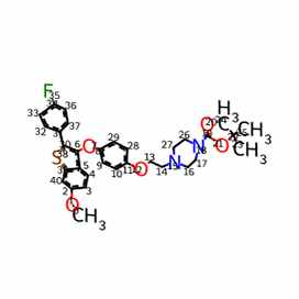 COc1ccc2c(Oc3ccc(OCCN4CCN(C(=O)OC(C)(C)C)CC4)cc3)c(-c3ccc(F)cc3)sc2c1